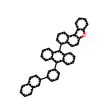 c1cc(-c2ccc3ccccc3c2)cc(-c2c3ccccc3c(-c3cccc4c3ccc3oc5ccccc5c34)c3ccccc23)c1